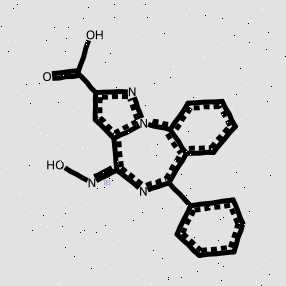 O=C(O)c1cc2/c(=N\O)nc(-c3ccccc3)c3ccccc3n2n1